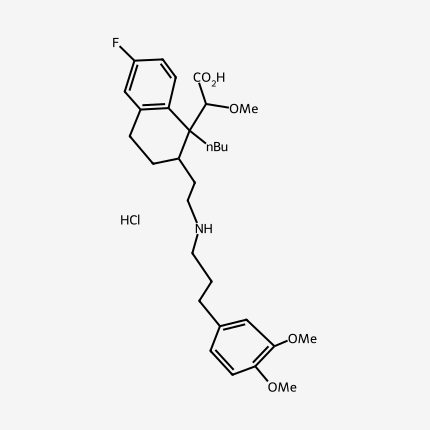 CCCCC1(C(OC)C(=O)O)c2ccc(F)cc2CCC1CCNCCCc1ccc(OC)c(OC)c1.Cl